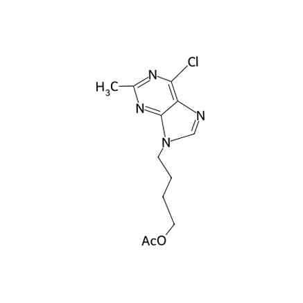 CC(=O)OCCCCn1cnc2c(Cl)nc(C)nc21